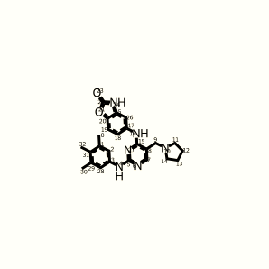 Cc1cc(Nc2ncc(CN3CCCC3)c(Nc3ccc4oc(=O)[nH]c4c3)n2)cc(C)c1C